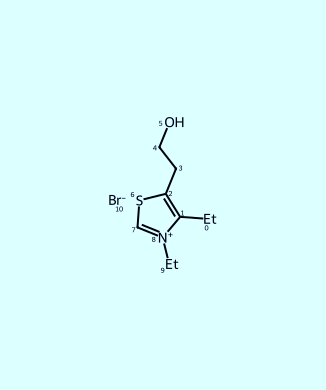 CCc1c(CCO)sc[n+]1CC.[Br-]